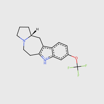 FC(F)(F)Oc1ccc2c3c([nH]c2c1)CCN1CCC[C@@H]1C3